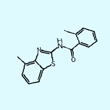 Cc1ccccc1C(=O)Nc1nc2c(C)cccc2s1